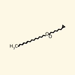 CC=CC=CC=CCCCCCCCCCOC(=O)CCCCCCC1CC1